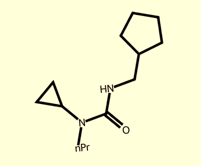 CCCN(C(=O)NCC1CCCC1)C1CC1